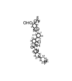 Cc1c(-c2nc3cc(C=O)c(OC(F)F)cc3o2)cccc1-c1cccc(NC(=O)c2nc3c(s2)CCN(C2CCC(F)(F)CC2)C3)c1Cl